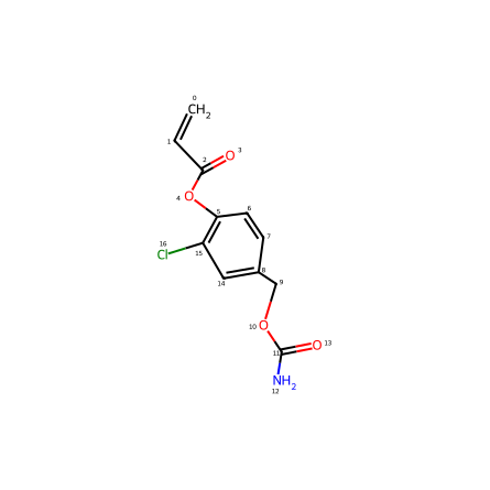 C=CC(=O)Oc1ccc(COC(N)=O)cc1Cl